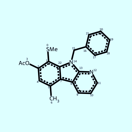 CSc1c(OC(C)=O)cc(C)c2c3cccnc3n(Cc3ccccc3)c12